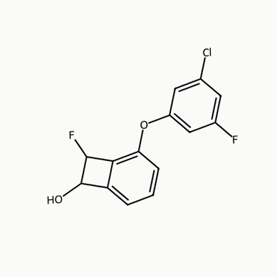 OC1c2cccc(Oc3cc(F)cc(Cl)c3)c2C1F